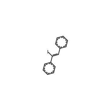 IC(=Cc1ccccc1)c1ccccc1